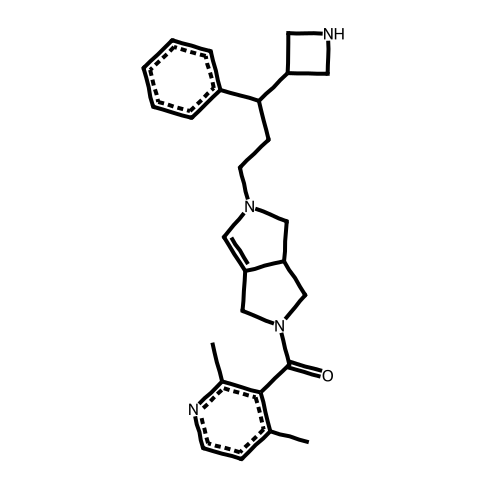 Cc1ccnc(C)c1C(=O)N1CC2=CN(CCC(c3ccccc3)C3CNC3)CC2C1